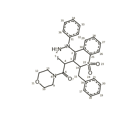 NN(C1=C(C(I)C(=O)N2CCOCC2)C(Cc2ccccc2)S(=O)(=O)c2ccccc21)c1ccccc1